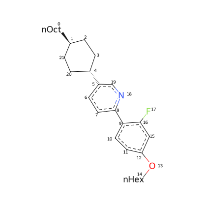 CCCCCCCC[C@H]1CC[C@H](c2ccc(-c3ccc(OCCCCCC)cc3F)nc2)CC1